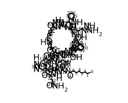 CCCCCCCC(=O)NCC(=O)N[C@@H](CO)C(=O)N[C@H](CCC(N)=O)C(=O)N[C@@H](Cc1c[nH]cn1)C(=O)N[C@H](C(=O)N[C@@H](CCCC)C(=O)N[C@H]1CCC(=O)CNCCCC[C@@H](C(N)=O)NC(=O)[C@H](Cc2c[nH]c3ccccc23)NC(=O)[C@H](CCCNC(=N)N)NC(=O)[C@@H](Cc2ccccc2)NC(=O)[C@@H]2C[C@@H](O)CN2C1=O)C(C)O